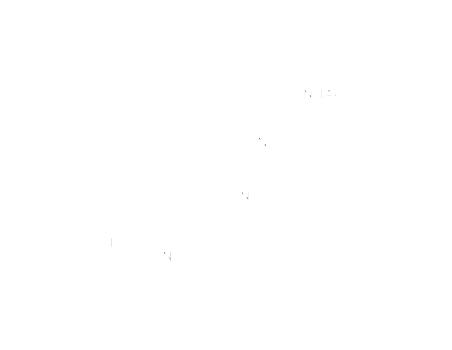 CC(=O)NCCN1CCN(C(=O)c2ccc(C)nc2)CC1